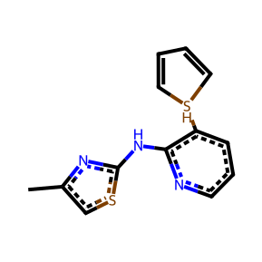 Cc1csc(Nc2ncccc2[SH]2C=CC=C2)n1